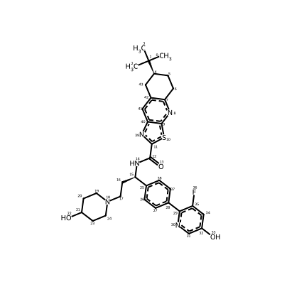 CC(C)(C)[C@H]1CCc2nc3sc(C(=O)N[C@H](CCN4CCC(O)CC4)c4ccc(-c5ncc(O)cc5F)cc4)nc3cc2C1